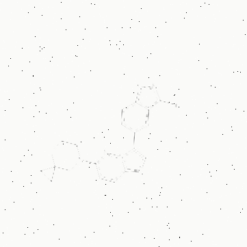 CC(C)c1n[nH]c2ccc(-c3cnc4ccc(N5CCOC6(CC6)C5)nn34)cc12